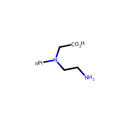 CCCN(CCN)CC(=O)O